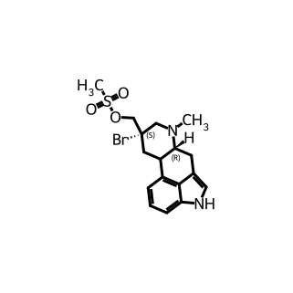 CN1C[C@](Br)(COS(C)(=O)=O)CC2c3cccc4[nH]cc(c34)C[C@H]21